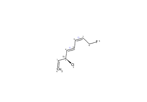 C=C[C@H](Cl)/C=C/C=C\CF